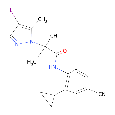 Cc1c(I)cnn1C(C)(C)C(=O)Nc1ccc(C#N)cc1C1CC1